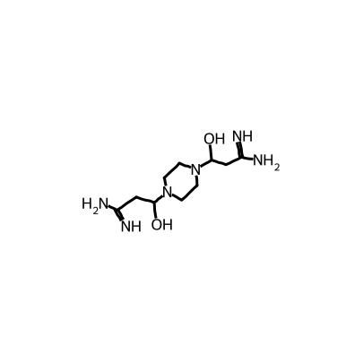 N=C(N)CC(O)N1CCN(C(O)CC(=N)N)CC1